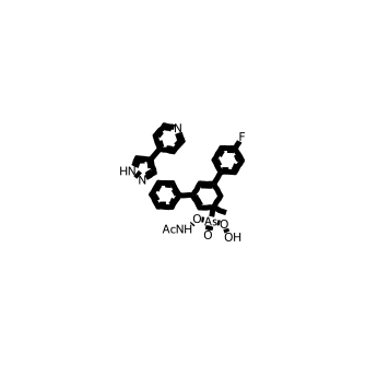 CC(=O)NO[As](=O)(OO)C1(C)C=C(c2ccccc2)C=C(c2ccc(F)cc2)C1.c1cc(-c2cn[nH]c2)ccn1